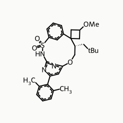 COC1CC2(C1)c1cccc(c1)S(=O)(=O)Nc1nc(cc(-c3c(C)cccc3C)n1)OC[C@H]2CC(C)(C)C